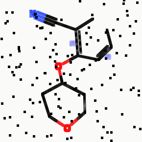 C/C=C\C(OC1CCOCC1)=C(/C)C#N